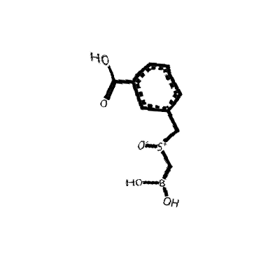 O=C(O)c1cccc(C[S+]([O-])CB(O)O)c1